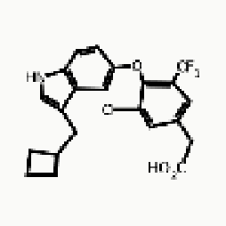 O=C(O)Cc1cc(Cl)c(Oc2ccc3[nH]cc(CC4CCC4)c3c2)c(C(F)(F)F)c1